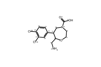 NCC1OCCN(C(=O)O)CC1c1ccc(Cl)c(Cl)c1